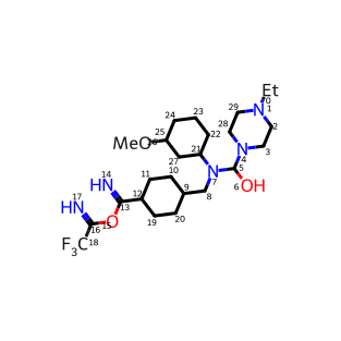 CCN1CCN(C(O)N(CC2CCC(C(=N)OC(=N)C(F)(F)F)CC2)C2CCCC(OC)C2)CC1